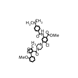 COC(=O)c1cc(Cl)c(N2CCN(C(=O)c3c(-c4ccccc4OC)noc3C)CC2)cc1NC(=O)c1ccc(N(C)C)cc1